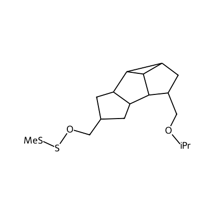 CSSOCC1CC2C(C1)C1C3CC(COC(C)C)C2C31